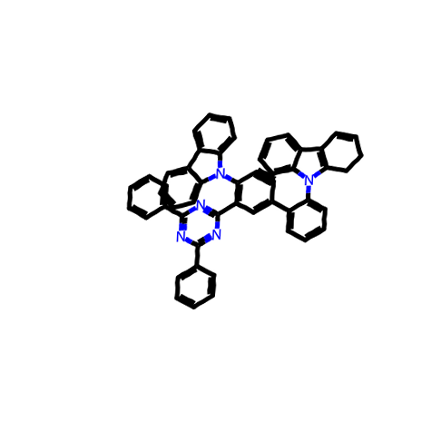 c1c(-c2ccccc2-n2c3c(c4ccccc42)C=CCC3)cc(-c2nc(-c3ccccc3)nc(-c3ccccc3)n2)c(-n2c3ccccc3c3ccccc32)c#1